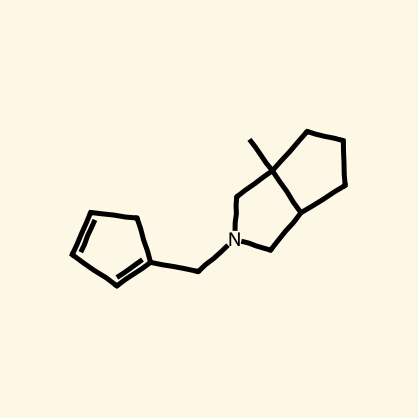 CC12CCCC1CN(CC1=CC=CC1)C2